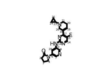 O=C1CCCN1c1cncc(Nc2ncc(F)c(C3=CCCN(C4CC4)C3)n2)c1